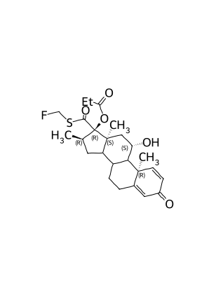 CCC(=O)O[C@]1(C(=O)SCF)[C@H](C)CC2C3CCC4=CC(=O)C=C[C@]4(C)C3[C@@H](O)C[C@@]21C